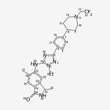 CCn1nc(-c2ccc(C3CCN(CC(F)(F)F)CC3)cc2)nc1Nc1cc2c(cc1C)C(=O)NC2C